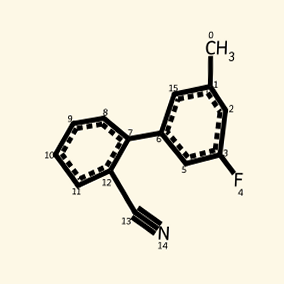 Cc1cc(F)cc(-c2ccccc2C#N)c1